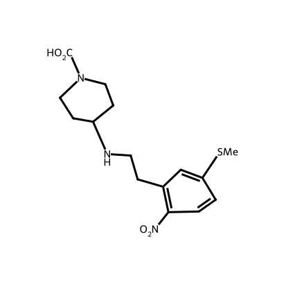 CSc1ccc([N+](=O)[O-])c(CCNC2CCN(C(=O)O)CC2)c1